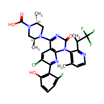 Cc1ccnc(C(C)C(F)(F)F)c1-n1c(=O)nc(N2C[C@@H](C)N(C(=O)O)C[C@@H]2C)c2cc(Cl)c(-c3c(O)cccc3F)nc21